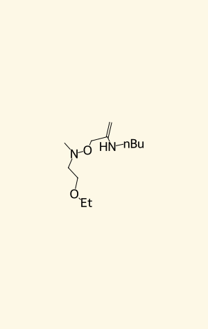 C=C(CON(C)CCOCC)NCCCC